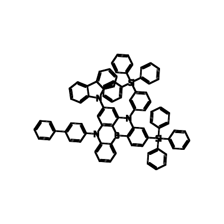 c1ccc(-c2ccc(N3c4ccccc4B4c5ccc([Si](c6ccccc6)(c6ccccc6)c6ccccc6)cc5N(c5cccc([Si](c6ccccc6)(c6ccccc6)c6ccccc6)c5)c5cc(-n6c7ccccc7c7ccccc76)cc3c54)cc2)cc1